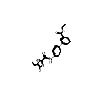 CCOC(=O)c1cccc([C@H]2CC[C@@H](NC(=O)c3nc(Cl)c(CC)[nH]3)CC2)c1